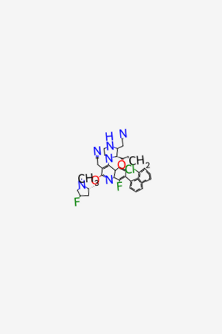 C=CC(=O)[C@@H]1C(CC#N)NCCN1C1=C(CC#N)C(OC[C@@H]2C[C@@H](F)CN2C)=NC2C(F)=C(c3cccc4cccc(Cl)c34)C=CC12